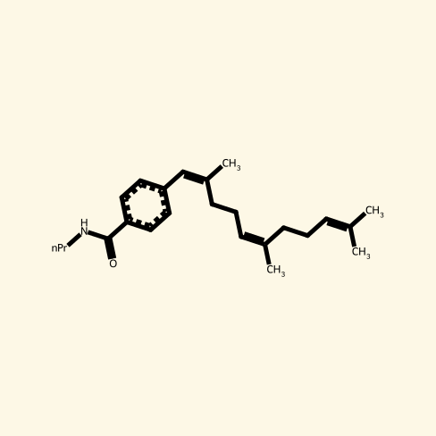 CCCNC(=O)c1ccc(C=C(C)CCC=C(C)CCC=C(C)C)cc1